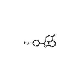 Cc1ccc(-c2oc3cccc4c3c2C=CC4=O)cc1